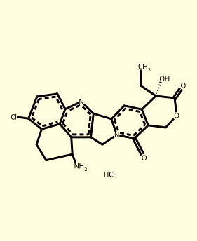 CC[C@@]1(O)C(=O)OCc2c1cc1n(c2=O)Cc2c-1nc1ccc(Cl)c3c1c2C(N)CC3.Cl